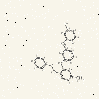 Cc1ccc(OCc2ccccc2)c(Cc2cccc(Oc3cccc(I)c3)c2)c1